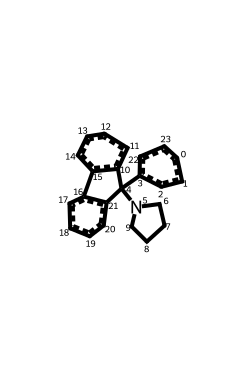 c1ccc(C2(N3CCCC3)c3ccccc3-c3ccccc32)cc1